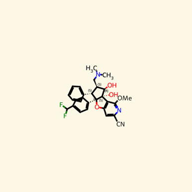 COc1nc(C#N)cc2c1[C@]1(O)[C@H](O)[C@H](CN(C)C)[C@@H](c3ccccc3)[C@]1(c1ccc(C(F)F)cc1)O2